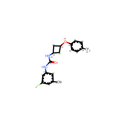 N#Cc1cc(F)cc(NC(=O)NC2CC(Oc3ccc(C(F)(F)F)cc3)C2)c1